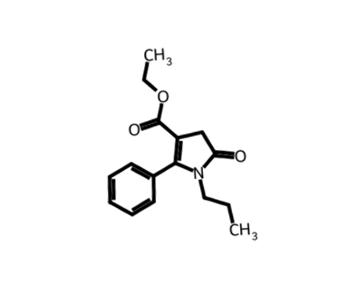 CCCN1C(=O)CC(C(=O)OCC)=C1c1ccccc1